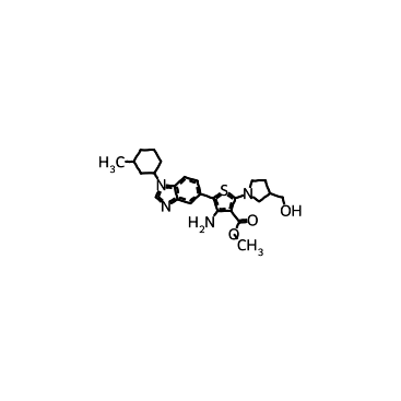 COC(=O)c1c(N2CCC(CO)C2)sc(-c2ccc3c(c2)ncn3C2CCCC(C)C2)c1N